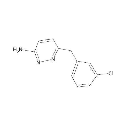 Nc1ccc(Cc2cccc(Cl)c2)nn1